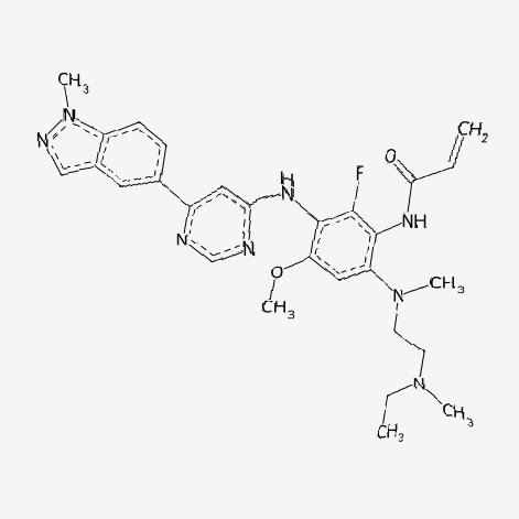 C=CC(=O)Nc1c(N(C)CCN(C)CC)cc(OC)c(Nc2cc(-c3ccc4c(cnn4C)c3)ncn2)c1F